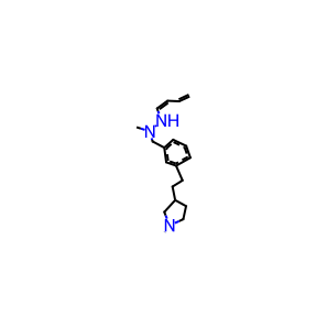 C=C/C=C\NN(C)Cc1cccc(CCC2CCN(C)C2)c1